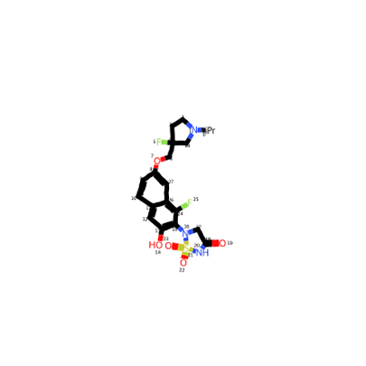 CC(C)N1CCC(F)(COc2ccc3cc(O)c(N4CC(=O)NS4(=O)=O)c(F)c3c2)C1